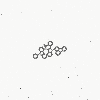 c1ccc(-n2c3ccccc3c3c2ccc2nc4c5ccccc5c5c(c6ccccc6n5-c5ccc6c7c(cccc57)-c5ccccc5-6)n4c23)cc1